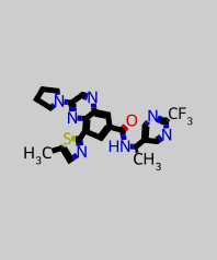 Cc1cnc(-c2cc(C(=O)N[C@H](C)c3cnc(C(F)(F)F)nc3)cc3ncc(N4CCCC4)nc23)s1